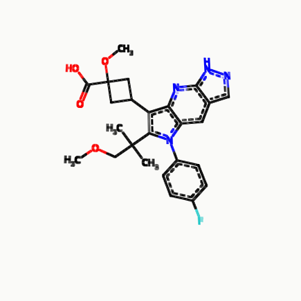 COCC(C)(C)c1c(C2CC(OC)(C(=O)O)C2)c2nc3[nH]ncc3cc2n1-c1ccc(F)cc1